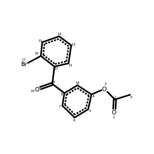 CC(=O)Oc1cccc(C(=O)c2ccccc2Br)c1